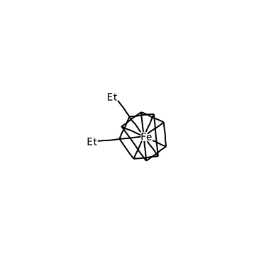 CC[C]12[CH]3[CH]4[CH]5[C]1(CC)[Fe]43521678[CH]2[CH]1[CH]6[CH]7[CH]28